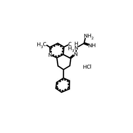 Cc1cc(C)c2c(n1)CC(c1ccccc1)C/C2=N/NC(=N)N.Cl